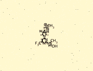 C[C@H]1[C@H](O)CN1c1nc(N2C[C@@H]3[C@H](C2)[C@H]3CS(C)(=O)=O)cc(C(F)(F)F)n1